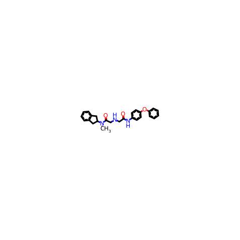 CN(C(=O)CNCC(=O)Nc1ccc(Oc2ccccc2)cc1)C1Cc2ccccc2C1